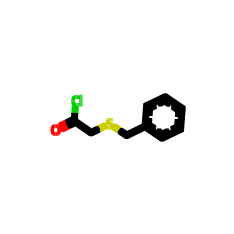 O=C(Cl)CSCc1ccccc1